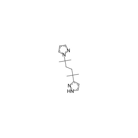 CC(C)(CCC(C)(C)n1cccn1)c1cc[nH]n1